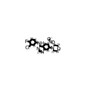 O=[N+]([O-])c1cc2c(Nc3ccc(F)c(Cl)c3)ncnc2cc1N1CCOCC1